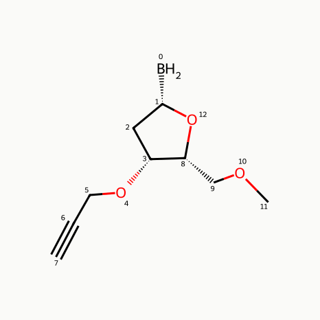 B[C@H]1C[C@@H](OCC#C)[C@@H](COC)O1